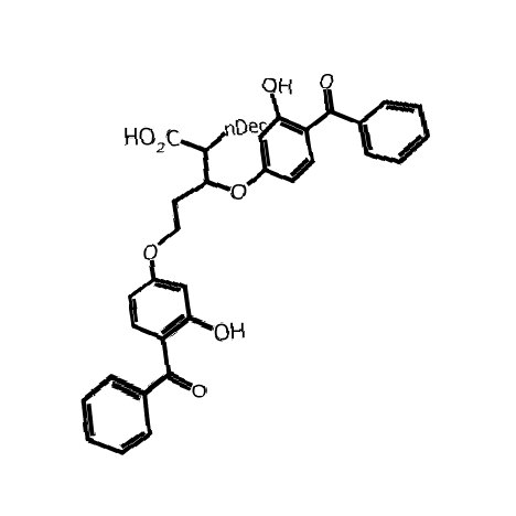 CCCCCCCCCCC(C(=O)O)C(CCOc1ccc(C(=O)c2ccccc2)c(O)c1)Oc1ccc(C(=O)c2ccccc2)c(O)c1